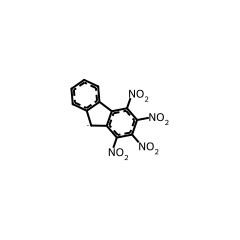 O=[N+]([O-])c1c2c(c([N+](=O)[O-])c([N+](=O)[O-])c1[N+](=O)[O-])-c1ccccc1[CH]2